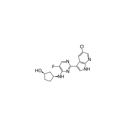 O[C@@H]1CC[C@H](Nc2nc(-c3c[nH]c4ncc(Cl)cc34)ncc2F)C1